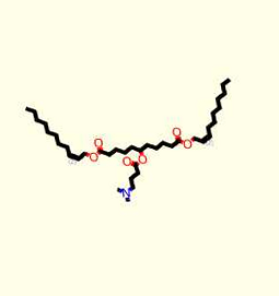 CCCCCCCC/C=C\COC(=O)CCCCC(CCCCC(=O)OC/C=C\CCCCCCCC)OC(=O)CCCN(C)C